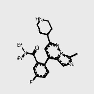 CCN(C(=O)c1cc(F)ccc1-c1cc(C2CCNCC2)nn2c(C)ncc12)C(C)C